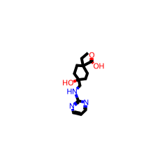 CCC1(C(=O)O)CCC(O)(CNc2ncccn2)CC1